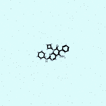 Nc1c(-c2ccccc2)c(=O)n(C2CCC2)c2nc(NC3CCCCC3)ncc12